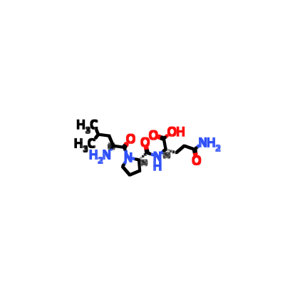 CC(C)C[C@H](N)C(=O)N1CCC[C@H]1C(=O)N[C@@H](CCC(N)=O)C(=O)O